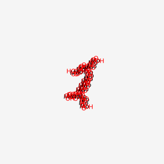 O=P([O][Mo](=[O])(=[O])[O][Mo](=[O])(=[O])[O][Mo](=[O])(=[O])[O][Mo](=[O])(=[O])[OH])([O][Mo](=[O])(=[O])[O][Mo](=[O])(=[O])[O][Mo](=[O])(=[O])[O][Mo](=[O])(=[O])[OH])[O][Mo](=[O])(=[O])[O][Mo](=[O])(=[O])[O][Mo](=[O])(=[O])[O][Mo](=[O])(=[O])[O][Mo](=[O])(=[O])[O][Mo](=[O])(=[O])[O][Mo](=[O])(=[O])[O][Mo](=[O])(=[O])[O]P(=O)([O][Mo](=[O])(=[O])[O][Mo](=[O])(=[O])[O][Mo](=[O])(=[O])[O][Mo](=[O])(=[O])[OH])[O][Mo](=[O])(=[O])[O][Mo](=[O])(=[O])[O][Mo](=[O])(=[O])[O][Mo](=[O])(=[O])[OH]